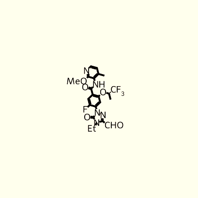 CCn1c(C=O)nn(-c2cc(O[C@@H](C)C(F)(F)F)c(C(=O)Nc3c(C)ccnc3OC)cc2F)c1=O